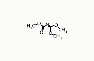 COC(=O)N=C(OC)OC